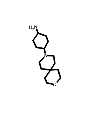 NC1CCC(N2CCC3(CCOCC3)CC2)CC1